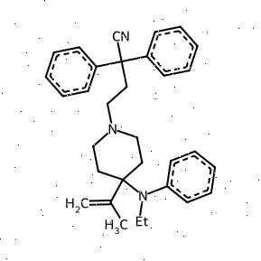 C=C(C)C1(N(CC)c2ccccc2)CCN(CCC(C#N)(c2ccccc2)c2ccccc2)CC1